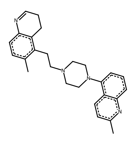 Cc1ccc2c(N3CCN(CCc4c(C)ccc5c4CCC=N5)CC3)cccc2n1